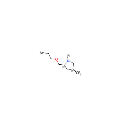 CC(=O)CCOC[C@@H]1C[C@H](C(F)(F)F)CN1C(C)C